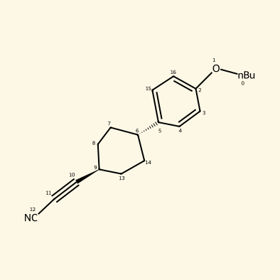 CCCCOc1ccc([C@H]2CC[C@H](C#CC#N)CC2)cc1